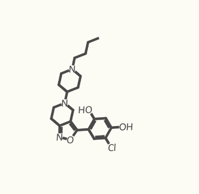 CCCCN1CCC(N2CCc3noc(-c4cc(Cl)c(O)cc4O)c3C2)CC1